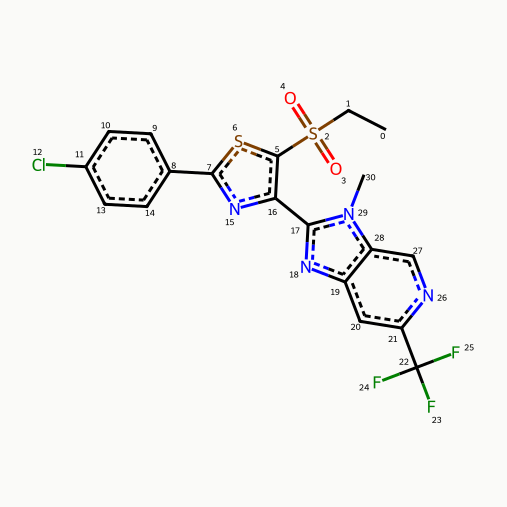 CCS(=O)(=O)c1sc(-c2ccc(Cl)cc2)nc1-c1nc2cc(C(F)(F)F)ncc2n1C